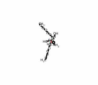 CCOCCOCCOCCOCCOCCOC(CN(CC(OCCO)OCCOCCOCCOCCOCCOCC)c1ccc(N)c(C)c1)OCCO